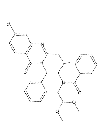 COC(CN(CC(C)Cc1nc2cc(Cl)ccc2c(=O)n1Cc1ccccc1)C(=O)c1ccccc1)OC